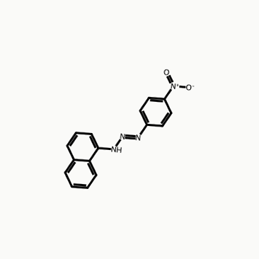 O=[N+]([O-])c1ccc(/N=N/Nc2cccc3ccccc23)cc1